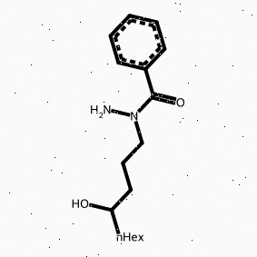 CCCCCCC(O)CCCN(N)C(=O)c1ccccc1